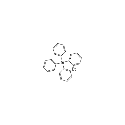 CCc1ccccc1[Si](c1ccccc1)(c1ccccc1)c1ccccc1